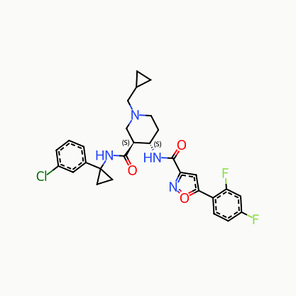 O=C(N[C@H]1CCN(CC2CC2)C[C@@H]1C(=O)NC1(c2cccc(Cl)c2)CC1)c1cc(-c2ccc(F)cc2F)on1